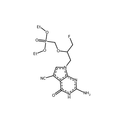 CCOP(=O)(COC(CF)Cn1cc(C#N)c2c(=O)[nH]c(N)nc21)OCC